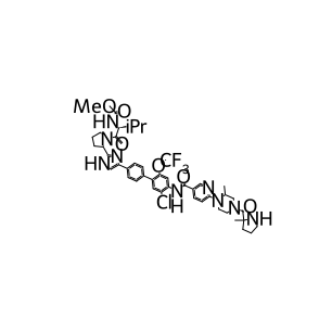 COC(=O)N[C@H](C(=O)N1CCCC1c1nc(-c2ccc(-c3cc(Cl)c(NC(=O)c4ccc(N5CCN(C(=O)C6(C)CCCN6)CC5C)nc4)cc3OC(F)(F)F)cc2)c[nH]1)C(C)C